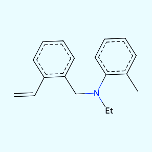 C=Cc1ccccc1CN(CC)c1ccccc1C